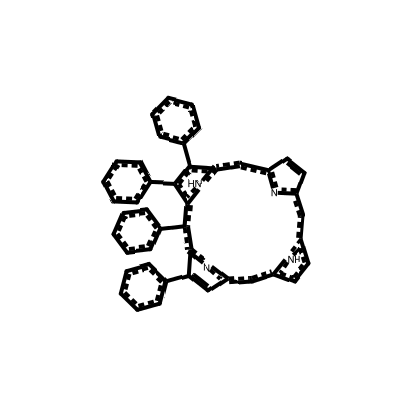 C1=Cc2cc3[nH]c(c(-c4ccccc4)c4nc(cc5ccc(cc1n2)[nH]5)C=C4c1ccccc1)c(-c1ccccc1)c3-c1ccccc1